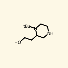 CC(C)(C)N1CCNCC1CCO